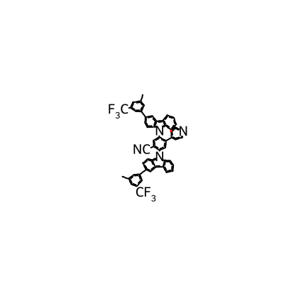 Cc1cc(-c2ccc3c(c2)c2ccccc2n3-c2cc(-c3ccncc3)c(-n3c4ccccc4c4cc(-c5cc(C)cc(C(F)(F)F)c5)ccc43)cc2C#N)cc(C(F)(F)F)c1